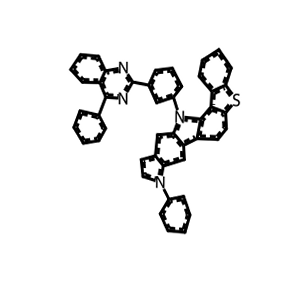 c1ccc(-c2nc(-c3cccc(-n4c5cc6ccn(-c7ccccc7)c6cc5c5ccc6sc7ccccc7c6c54)c3)nc3ccccc23)cc1